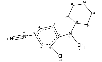 CN(c1ccc([N+]#N)cc1Cl)C1CCCCC1